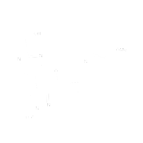 COc1ccc(C2C[C@@H]2COc2nc(CO)ncc2-c2cnn(C)c2)nc1